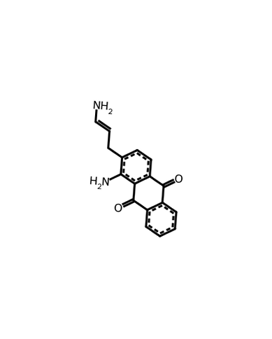 NC=CCc1ccc2c(c1N)C(=O)c1ccccc1C2=O